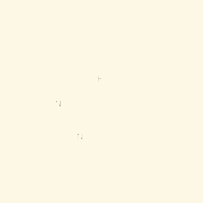 Cn1cnc(Cc2ccccc2F)c1